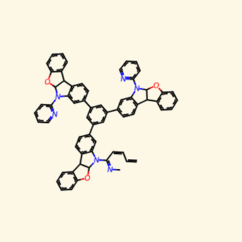 C=C/C=C\C(=N/C)N1c2cc(-c3cc(-c4ccc5c(c4)N(c4ccccn4)C4Oc6ccccc6C54)cc(-c4ccc5c(c4)N(c4ccccn4)C4Oc6ccccc6C54)c3)ccc2C2c3ccccc3OC21